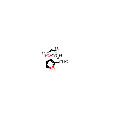 C=CC.O=C(O)O.O=Cc1ccco1